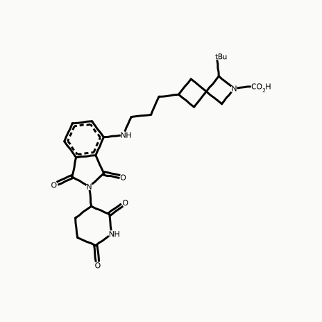 CC(C)(C)C1N(C(=O)O)CC12CC(CCCNc1cccc3c1C(=O)N(C1CCC(=O)NC1=O)C3=O)C2